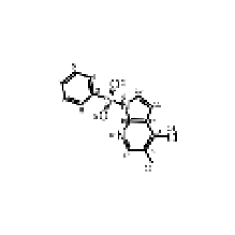 O=S(=O)(c1ccccc1)n1ccc2c(Cl)c(I)cnc21